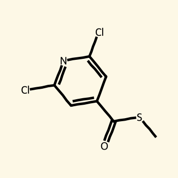 CSC(=O)c1cc(Cl)nc(Cl)c1